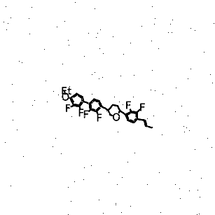 C/C=C/c1ccc(C2CCC(c3ccc(-c4ccc(OCC)c(F)c4F)c(F)c3F)CO2)c(F)c1F